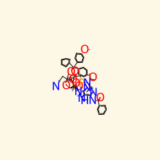 COc1ccc(C(OC[C@]23COC(C2OP(CC(=O)OC(C)(C)CC#N)N(C(C)C)C(C)C)[C@H](n2cnc4c(NC(=O)c5ccccc5)ncnc42)O3)(c2ccccc2)c2ccc(OC)cc2)cc1